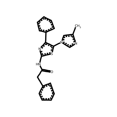 Cc1cn(-c2sc(NC(=O)Cc3ccccc3)nc2-c2ccccc2)cn1